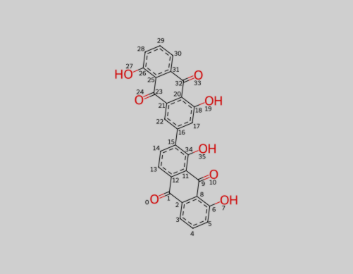 O=C1c2cccc(O)c2C(=O)c2c1ccc(-c1cc(O)c3c(c1)C(=O)c1c(O)cccc1C3=O)c2O